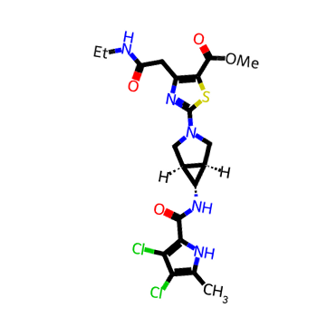 CCNC(=O)Cc1nc(N2C[C@@H]3[C@H](C2)[C@H]3NC(=O)c2[nH]c(C)c(Cl)c2Cl)sc1C(=O)OC